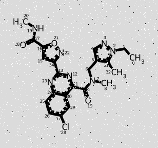 CCn1ncc(CN(C)C(=O)c2nc(-c3cc(C(=O)NC)on3)nc3ccc(Cl)cc23)c1C